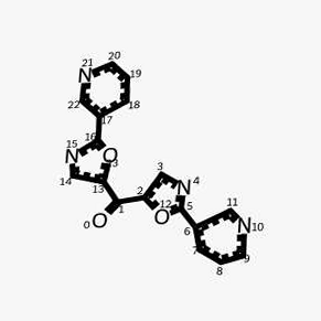 O=C(c1cnc(-c2cccnc2)o1)c1cnc(-c2cccnc2)o1